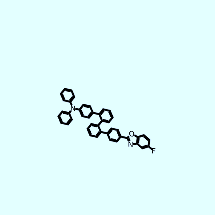 Fc1ccc2oc(-c3ccc(-c4ccccc4-c4ccccc4-c4ccc(N(c5ccccc5)c5ccccc5)cc4)cc3)nc2c1